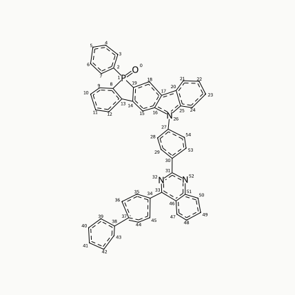 O=P1(c2ccccc2)c2ccccc2-c2cc3c(cc21)c1ccccc1n3-c1ccc(-c2nc(-c3ccc(-c4ccccc4)cc3)c3ccccc3n2)cc1